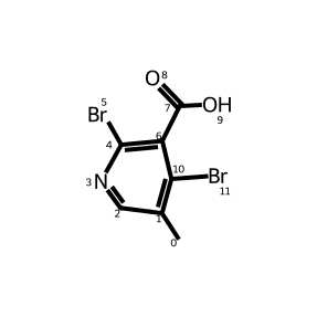 Cc1cnc(Br)c(C(=O)O)c1Br